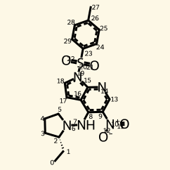 CC[C@@H]1CCCN1Nc1c([N+](=O)[O-])cnc2c1ccn2S(=O)(=O)c1ccc(C)cc1